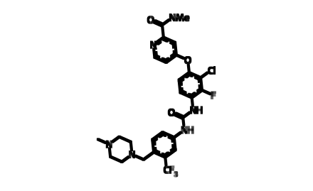 CNC(=O)c1cc(Oc2ccc(NC(=O)Nc3ccc(CN4CCN(C)CC4)c(C(F)(F)F)c3)c(F)c2Cl)ccn1